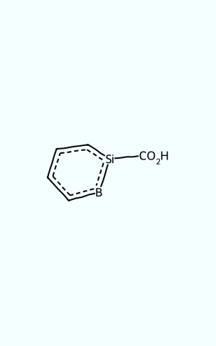 O=C(O)[si]1bcccc1